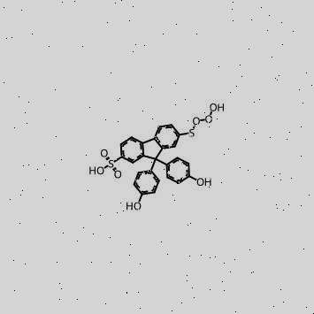 O=S(=O)(O)c1ccc2c(c1)C(c1ccc(O)cc1)(c1ccc(O)cc1)c1cc(SOOO)ccc1-2